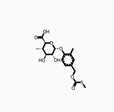 CSC(=O)OCc1ccc(O[C@H]2O[C@H](C(=O)O)[C@@H](C)[C@H](O)[C@H]2O)c(C)c1